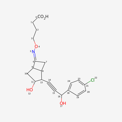 O=C(O)CCCON=C1CC2C1CC(O)C2C#CC(O)c1ccc(Cl)cc1